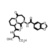 O=CC(CC(=O)O)NC(=O)C1CCCN2C(=O)CCN(NC(=O)c3ccc4c(c3)OCO4)C(=O)N12